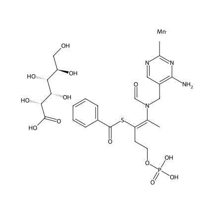 C/C(=C(\CCOP(=O)(O)O)SC(=O)c1ccccc1)N(C=O)Cc1cnc(C)nc1N.O=C(O)[C@H](O)[C@@H](O)[C@H](O)[C@H](O)CO.[Mn]